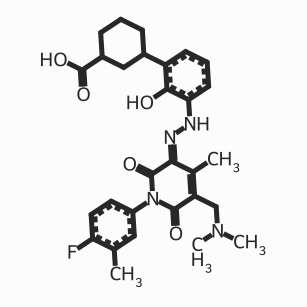 CC1=C(CN(C)C)C(=O)N(c2ccc(F)c(C)c2)C(=O)/C1=N/Nc1cccc(C2CCCC(C(=O)O)C2)c1O